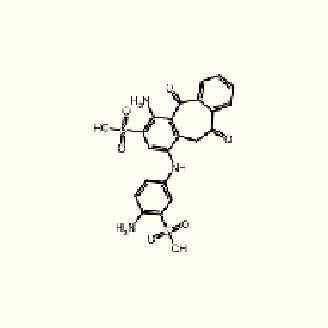 Nc1ccc(Nc2cc(S(=O)(=O)O)c(N)c3c2CC(=O)c2ccccc2C3=O)cc1S(=O)(=O)O